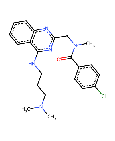 CN(C)CCCNc1nc(CN(C)C(=O)c2ccc(Cl)cc2)nc2ccccc12